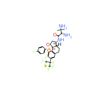 CC(C)(N)[C@H](N)C(=O)N[C@@H]1CC[C@@]2(S(=O)(=O)c3ccc(F)cc3)c3ccc(C(F)(C(F)(F)F)C(F)(F)F)cc3CC[C@@H]12